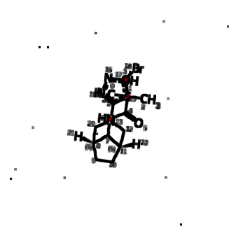 CC(C)(O)C(=O)NC1[C@@H]2CC[C@H]1CN(c1nnc(Br)s1)C2